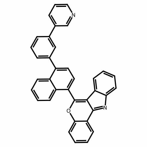 c1cncc(-c2cccc(-c3ccc(-c4oc5ccccc5c5nc6ccccc6c4-5)c4ccccc34)c2)c1